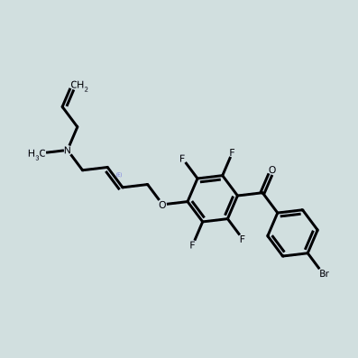 C=CCN(C)C/C=C/COc1c(F)c(F)c(C(=O)c2ccc(Br)cc2)c(F)c1F